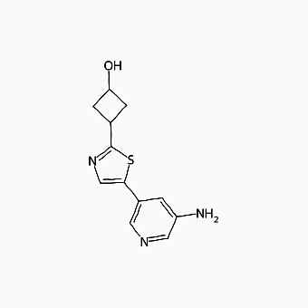 Nc1cncc(-c2cnc(C3CC(O)C3)s2)c1